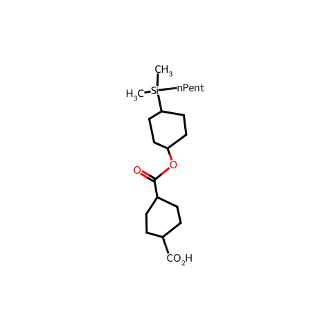 CCCCC[Si](C)(C)C1CCC(OC(=O)C2CCC(C(=O)O)CC2)CC1